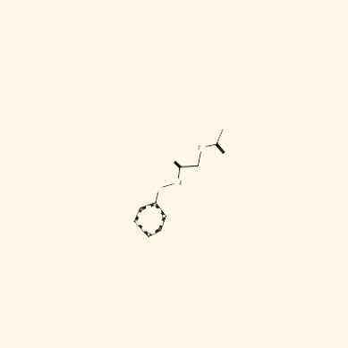 CC(=O)NCC(=O)NOc1ccccc1